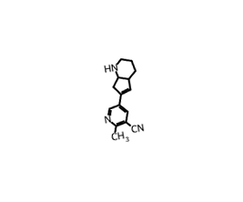 Cc1ncc(C2=CC3CCCNC3C2)cc1C#N